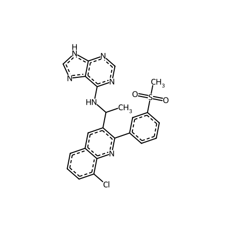 CC(Nc1ncnc2[nH]cnc12)c1cc2cccc(Cl)c2nc1-c1cccc(S(C)(=O)=O)c1